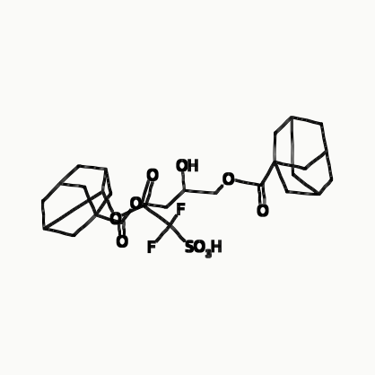 O=C(OCC(O)COC(=O)C12CC3CC(C1)C(OC(=O)C(F)(F)S(=O)(=O)O)C(C3)C2)C12CC3CC(CC(C3)C1)C2